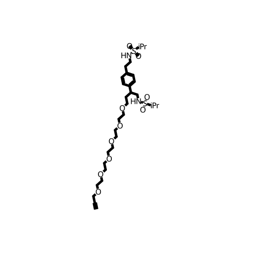 C#CCOCCOCCOCCOCCOCCOCCC(CNS(=O)(=O)C(C)C)c1ccc(CCNS(=O)(=O)C(C)C)cc1